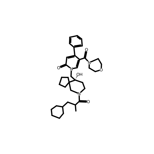 CC(CC1CCCCC1)C(=O)N1CC[C@](O)(Cn2cc(C(=O)N3CCOCC3)c(-c3ccccc3)cc2=O)C2(CCCC2)C1